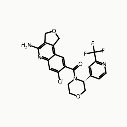 Nc1nc2cc(Cl)c(C(=O)N3CCOC[C@H]3c3ccnc(C(F)(F)F)c3)cc2c2c1COC2